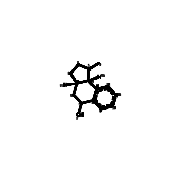 CN1CC[C@H]2CC(O)c3ccncc3[C@H]21